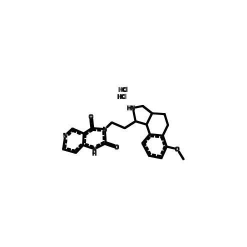 COc1cccc2c1CCC1CNC(CCn3c(=O)[nH]c4ccncc4c3=O)C21.Cl.Cl